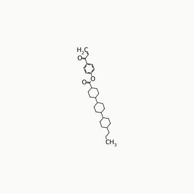 C=CC(=O)c1ccc(OC(=O)C2CCC(C3CCC(C4CCC(CCC)CC4)CC3)CC2)cc1